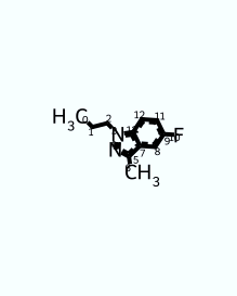 CCCn1nc(C)c2cc(F)ccc21